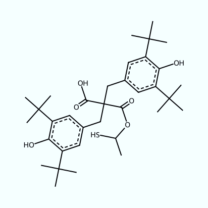 CC(S)OC(=O)C(Cc1cc(C(C)(C)C)c(O)c(C(C)(C)C)c1)(Cc1cc(C(C)(C)C)c(O)c(C(C)(C)C)c1)C(=O)O